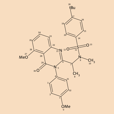 COc1ccc(-n2c(C(C)N(C)S(=O)(=O)c3ccc(C(C)(C)C)cc3)nc3cccc(OC)c3c2=O)cc1